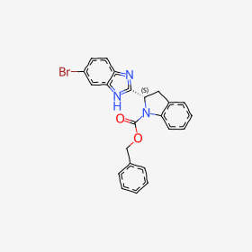 O=C(OCc1ccccc1)N1c2ccccc2C[C@H]1c1nc2ccc(Br)cc2[nH]1